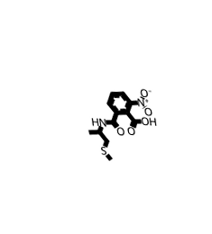 CSCC(C)NC(=O)c1cccc([N+](=O)[O-])c1C(=O)O